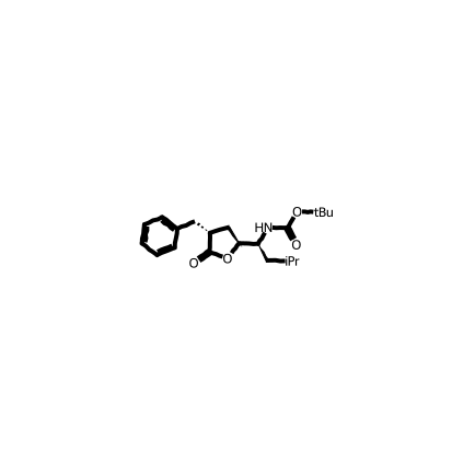 CC(C)C[C@H](NC(=O)OC(C)(C)C)[C@@H]1C[C@@H](Cc2ccccc2)C(=O)O1